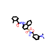 Cc1ccccc1C(=O)Nc1ccc(S(=O)(=O)NC(=O)c2cccc(N(C)C)c2)c2ccccc12